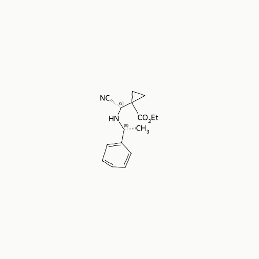 CCOC(=O)C1([C@@H](C#N)N[C@H](C)c2ccccc2)CC1